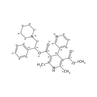 COC(=O)C1=C(C)NC(C)=C(C(=O)OC(CN2CCCCC2)c2ccccc2)C1c1cccnc1